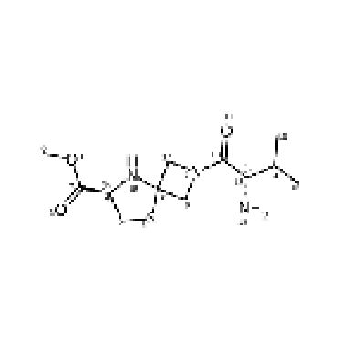 COC(=O)[C@@H]1CSC2(CN(C(=O)[C@@H](N)C(C)C)C2)N1